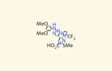 COc1cc(Nc2ncc(C3=CN(C(=O)O)C(SC)N=C3)c(-n3ccc(C(F)(F)F)n3)n2)cc(OC)c1